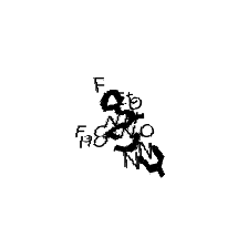 CCOc1c(C)cc([C@@](O)(CNC(=O)c2c(C)nc3cc(C)ccn23)C(F)(F)F)nc1-c1ccc(F)cc1